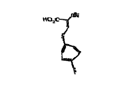 CCCCC(=CSc1ccc(F)cc1)C(=O)O